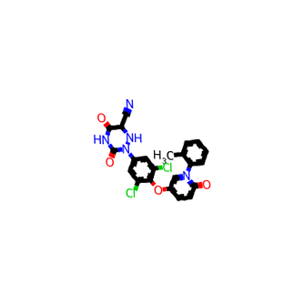 Cc1ccccc1-n1cc(Oc2c(Cl)cc(N3NC(C#N)C(=O)NC3=O)cc2Cl)ccc1=O